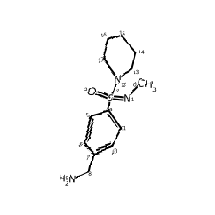 CN=S(=O)(c1ccc(CN)cc1)N1CCCCC1